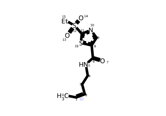 C/C=C\CCNC(=O)c1cnc(S(=O)(=O)CC)s1